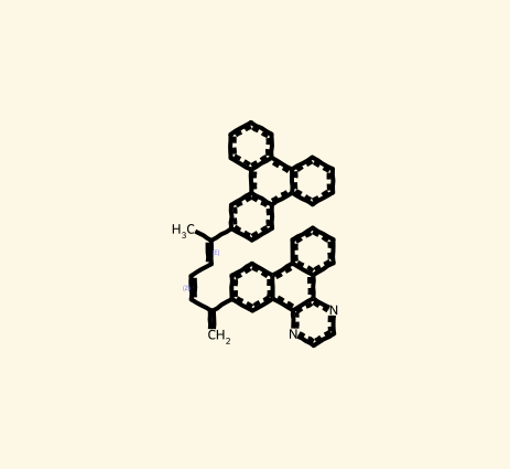 C=C(/C=C\C=C(/C)c1ccc2c3ccccc3c3ccccc3c2c1)c1ccc2c3ccccc3c3nccnc3c2c1